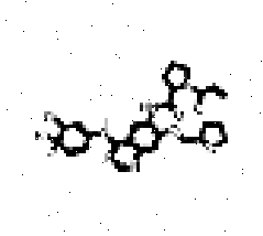 C=CC(=O)N1CCCC1C(=O)Nc1cc2c(NC3=CC(Cl)C(F)(Br)C=C3)ncnc2cc1OCC1CCCO1